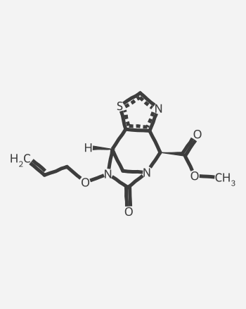 C=CCON1C(=O)N2C[C@H]1c1scnc1[C@H]2C(=O)OC